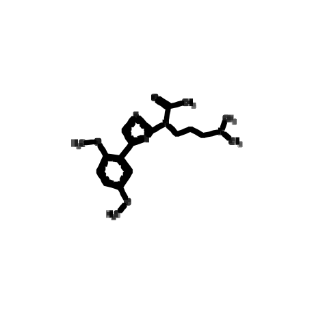 COc1ccc(OC)c(-c2csc(N(CCCN(C)C)C(C)=O)n2)c1